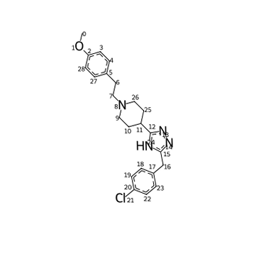 COc1ccc(CCN2CCC(c3nnc(Cc4ccc(Cl)cc4)[nH]3)CC2)cc1